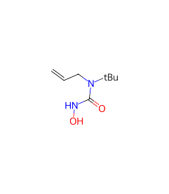 C=CCN(C(=O)NO)C(C)(C)C